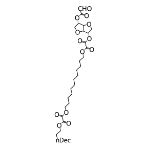 CCCCCCCCCCCCOC(=O)C(=O)OCCCCCCCCCCCCOC(=O)C(=O)O[C@H]1COC2C1OC[C@@H]2OC(=O)C=O